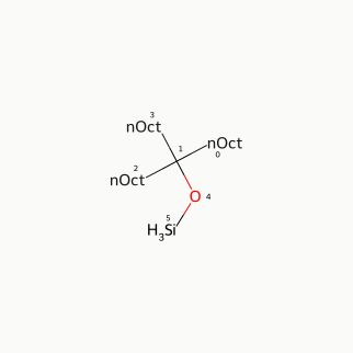 CCCCCCCCC(CCCCCCCC)(CCCCCCCC)O[SiH3]